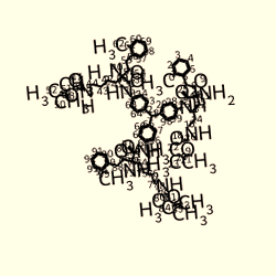 Cc1ccccc1CC(=O)[C@](N)(CCCCNC(=O)OC(C)(C)C)C(=O)Nc1ccc(C(c2ccc(NC(=O)[C@@](N)(CCCCNC(=O)OC(C)(C)C)C(=O)Cc3ccccc3C)cc2)c2ccc(NC(=O)[C@@](N)(CCCCNC(=O)OC(C)(C)C)C(=O)Cc3ccccc3C)cc2)cc1